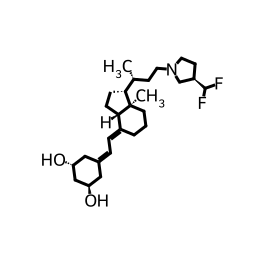 C[C@H](CCN1CC[C@@H](C(F)F)C1)[C@H]1CC[C@H]2/C(=C/C=C3C[C@@H](O)C[C@H](O)C3)CCC[C@]12C